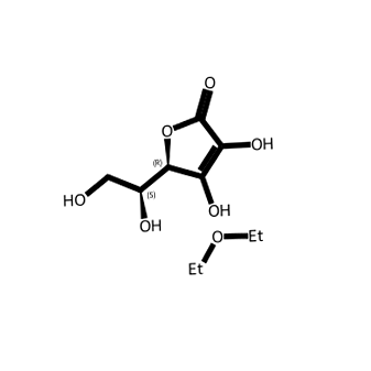 CCOCC.O=C1O[C@H]([C@@H](O)CO)C(O)=C1O